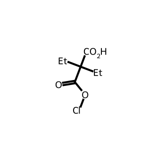 CCC(CC)(C(=O)O)C(=O)OCl